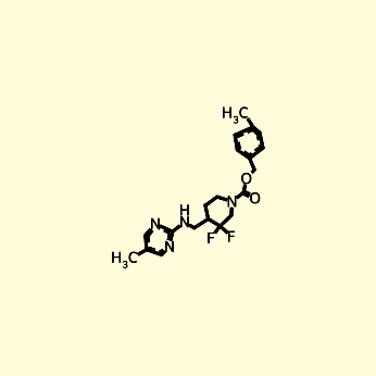 Cc1ccc(COC(=O)N2CCC(CNc3ncc(C)cn3)C(F)(F)C2)cc1